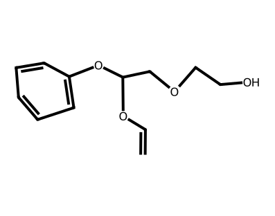 C=COC(COCCO)Oc1ccccc1